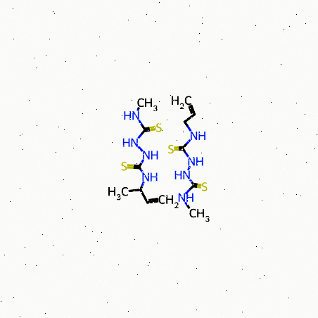 C=CC(C)NC(=S)NNC(=S)NC.C=CCNC(=S)NNC(=S)NC